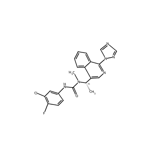 C[C@@H](c1cnc(-n2cncn2)c2ccccc12)N(C)C(=O)Nc1ccc(F)c(Cl)c1